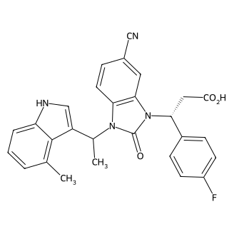 Cc1cccc2[nH]cc(C(C)n3c(=O)n([C@H](CC(=O)O)c4ccc(F)cc4)c4cc(C#N)ccc43)c12